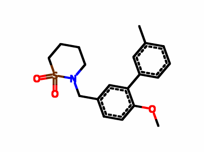 COc1ccc(CN2CCCCS2(=O)=O)cc1-c1cccc(C)c1